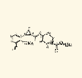 COc1c(F)cccc1C1CC1NCC1CCN(C(=O)OC(C)(C)C)CC1